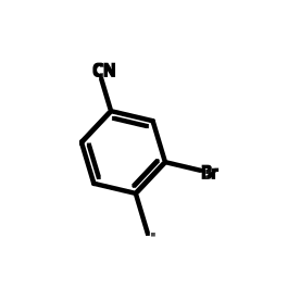 [CH2]c1ccc(C#N)cc1Br